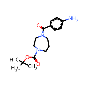 CC(C)(C)OC(=O)N1CCCN(C(=O)c2ccc(N)cc2)CC1